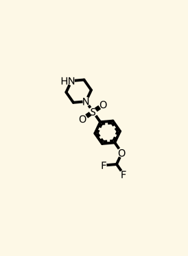 O=S(=O)(c1ccc(OC(F)F)cc1)N1CCNCC1